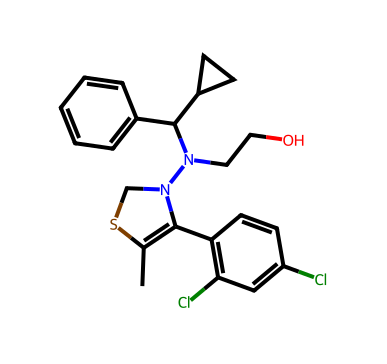 CC1=C(c2ccc(Cl)cc2Cl)N(N(CCO)C(c2ccccc2)C2CC2)CS1